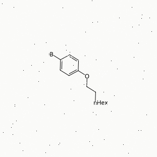 [B]c1ccc(OCCCCCCCC)cc1